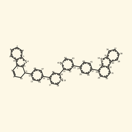 C1=Cc2c(sc3ccccc23)C(c2ccc(-c3ccnc(-c4cc(-c5ccc(-c6cccc7c6sc6ccccc67)cc5)ccn4)c3)cc2)C1